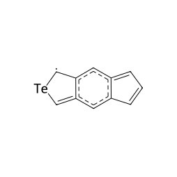 [CH]1[Te]C=c2cc3c(cc21)=CC=C3